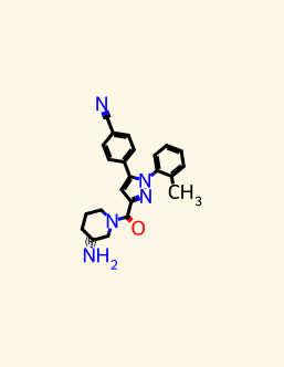 Cc1ccccc1-n1nc(C(=O)N2CCC[C@@H](N)C2)cc1-c1ccc(C#N)cc1